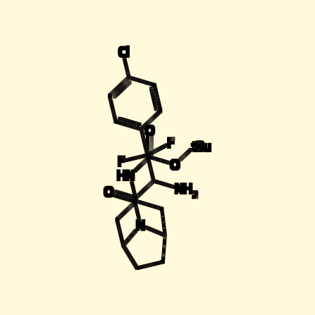 CC(C)(C)OC(=O)NC1CC2CCC(C1)N2C(=O)C(N)C(F)(F)c1ccc(Cl)cc1